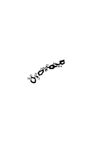 O=C1NCCCC[C@@H]1NC(=O)[C@H]1CC[C@H](NS(=O)(=O)c2ccc3[nH]c(-c4ccccc4)nc3c2)CC1